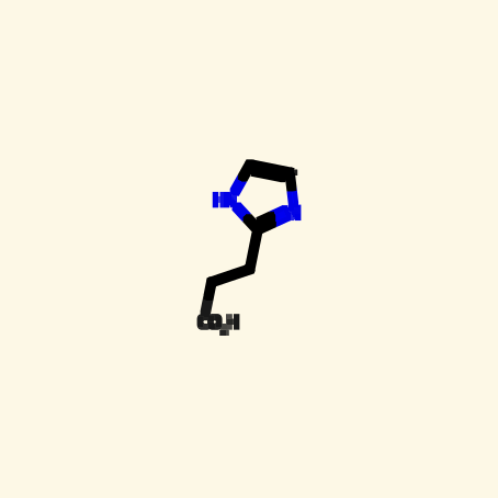 O=C(O)CCc1n[c]c[nH]1